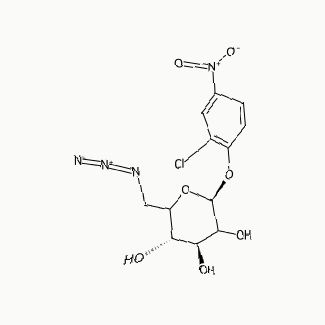 [N-]=[N+]=NCC1O[C@@H](Oc2ccc([N+](=O)[O-])cc2Cl)C(O)[C@@H](O)[C@@H]1O